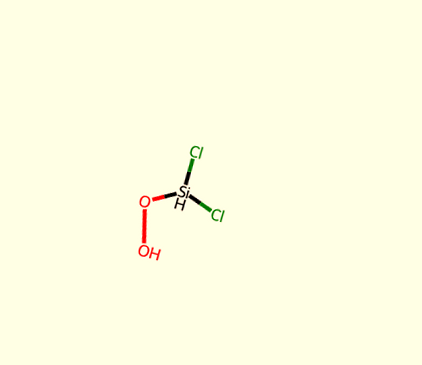 OO[SiH](Cl)Cl